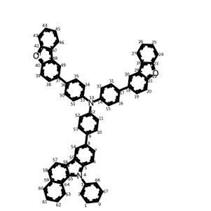 c1ccc(-n2c3ccc(-c4ccc(N(c5ccc(-c6ccc7oc8ccccc8c7c6)cc5)c5ccc(-c6ccc7oc8ccccc8c7c6)cc5)cc4)cc3c3ccc4ccccc4c32)cc1